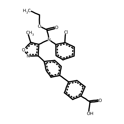 CCOC(=O)N(c1ccccc1Cl)c1c(-c2ccc(-c3ccc(C(=O)O)cc3)cc2)noc1C